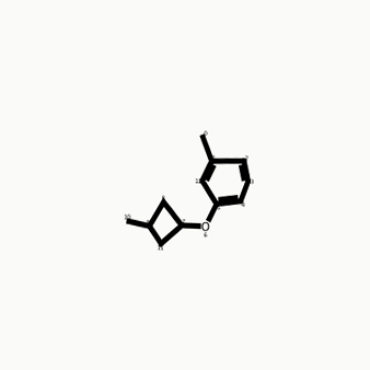 Cc1cccc(OC2CC(C)C2)c1